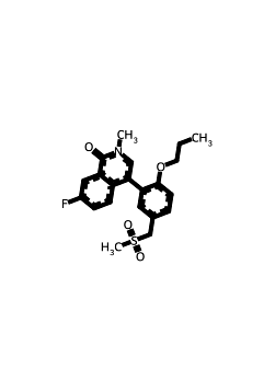 CCCOc1ccc(CS(C)(=O)=O)cc1-c1cn(C)c(=O)c2cc(F)ccc12